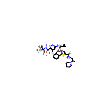 BC(B)(B)NC(=O)c1nnc(NC(=O)C2CC2)cc1Nc1cccc(-c2ncc(C(=O)NCC(C)N3CCCCC3)s2)c1OC